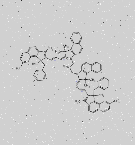 Cc1ccc2ccc3c(c2c1)C(C)(Cc1ccccc1)C(/C=C/C=C1/N(CC(=O)CN2/C(=C/C=C/C4=[N+](C)c5ccc6ccc(C)cc6c5C4(C)Cc4ccccc4)C(C)(C)c4c2ccc2ccccc42)c2ccc4ccccc4c2C1(C)C)=[N+]3C